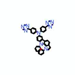 c1ccc(-n2ccc3ccc4c5cc(N(c6ccc(-c7ncncn7)cc6)c6ccc(-c7ncncn7)cc6)ccc5n(-c5ccccc5)c4c32)cc1